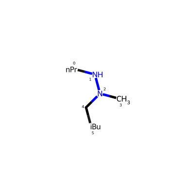 CCCNN(C)CC(C)CC